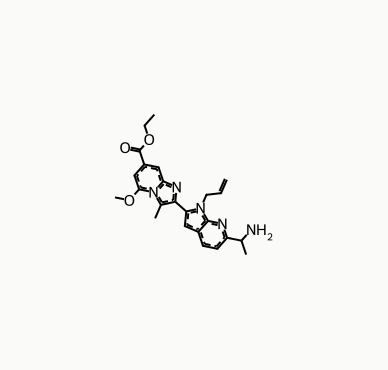 C=CCn1c(-c2nc3cc(C(=O)OCC)cc(OC)n3c2C)cc2ccc(C(C)N)nc21